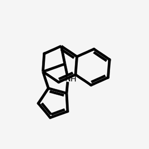 C1=CC2=C(C=1)C13C=c4ccccc4=C(C1)C3N2